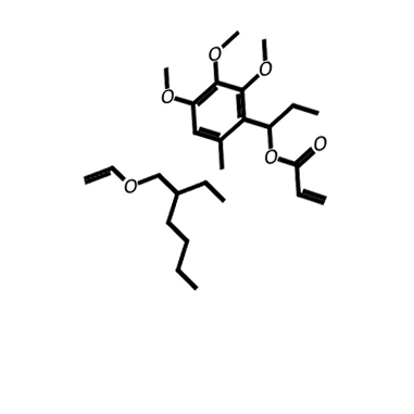 C=CC(=O)OC(CC)c1c(C)cc(OC)c(OC)c1OC.C=COCC(CC)CCCC